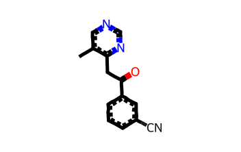 Cc1cncnc1CC(=O)c1cccc(C#N)c1